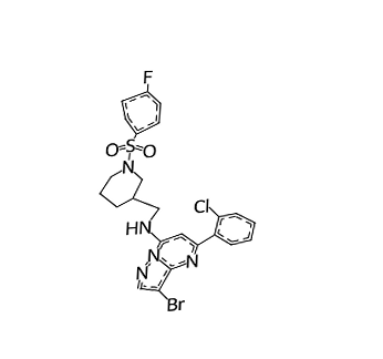 O=S(=O)(c1ccc(F)cc1)N1CCCC(CNc2cc(-c3ccccc3Cl)nc3c(Br)cnn23)C1